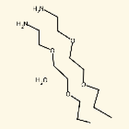 CCCOCCOCCN.CCCOCCOCCN.O